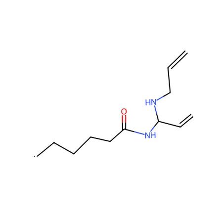 [CH2]CCCCC(=O)NC(C=C)NCC=C